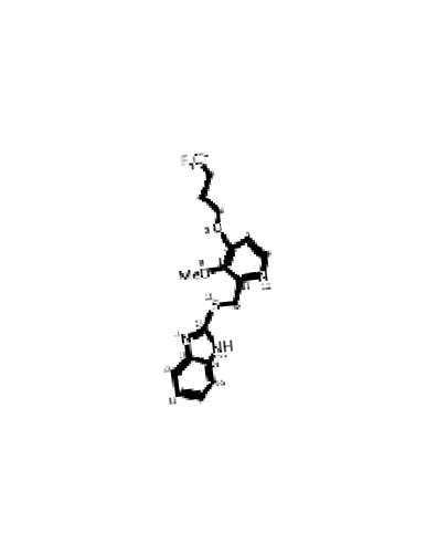 COc1c(OCCCC(F)(F)F)ccnc1CSc1nc2ccccc2[nH]1